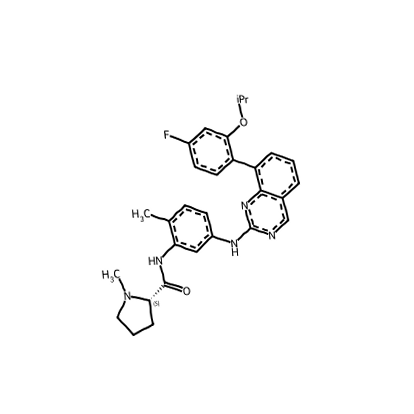 Cc1ccc(Nc2ncc3cccc(-c4ccc(F)cc4OC(C)C)c3n2)cc1NC(=O)[C@@H]1CCCN1C